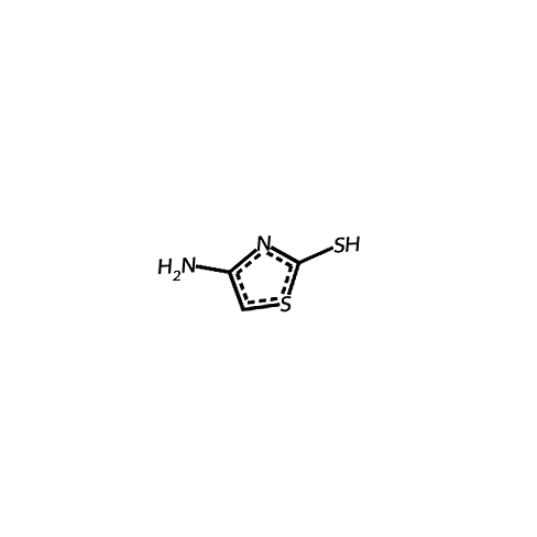 Nc1csc(S)n1